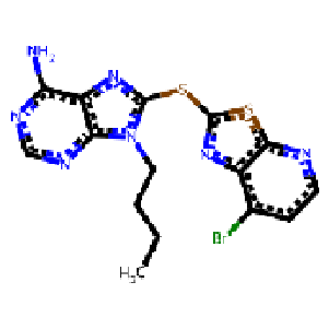 CCCCn1c(Sc2nc3c(Br)ccnc3s2)nc2c(N)ncnc21